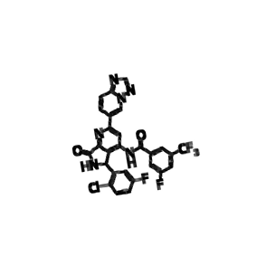 O=C(Nc1cc(-c2ccc3ncnn3c2)nc2c1C(c1cc(F)ccc1Cl)NC2=O)c1cc(F)cc(C(F)(F)F)c1